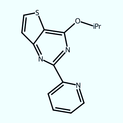 CC(C)Oc1nc(-c2ccccn2)nc2ccsc12